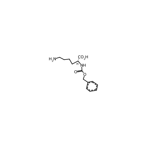 NCCCC[C@@H](NC(=O)OCc1ccccc1)C(=O)O